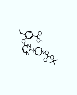 CCc1ccc(C(=O)OC)cc1Oc1ccnc(N2CCN(OC(=O)OC(C)(C)C)CC2)n1